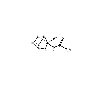 CC(=O)S[C@H]1CN2CCC1CC2